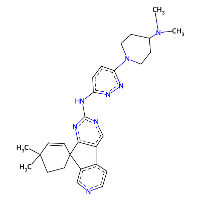 CN(C)C1CCN(c2ccc(Nc3ncc4c(n3)C3(C=CC(C)(C)CC3)c3cnccc3-4)nn2)CC1